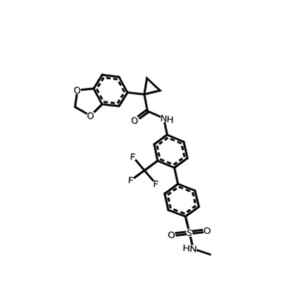 CNS(=O)(=O)c1ccc(-c2ccc(NC(=O)C3(c4ccc5c(c4)OCO5)CC3)cc2C(F)(F)F)cc1